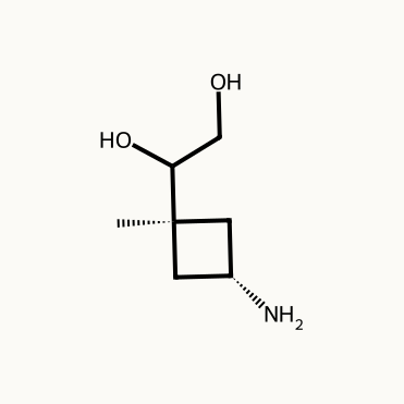 C[C@]1(C(O)CO)C[C@H](N)C1